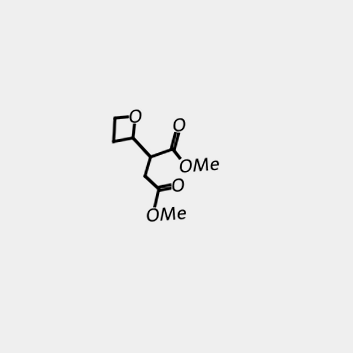 COC(=O)CC(C(=O)OC)C1CCO1